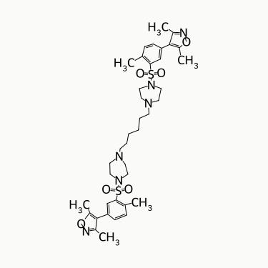 Cc1ccc(-c2c(C)noc2C)cc1S(=O)(=O)N1CCN(CCCCCCN2CCN(S(=O)(=O)c3cc(-c4c(C)noc4C)ccc3C)CC2)CC1